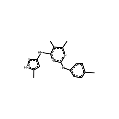 Cc1ccc(Nc2nc(C)c(C)c(Nc3cc(C)[nH]n3)n2)cc1